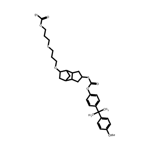 CCC(=O)OCCCSCCCOC1CC2CC1C1CC(SC(=O)Oc3ccc(C(C)(C)c4ccc(OC)cc4)cc3)CC21